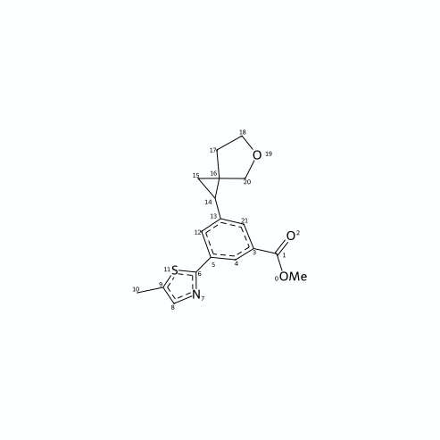 COC(=O)c1cc(-c2ncc(C)s2)cc(C2CC23CCOC3)c1